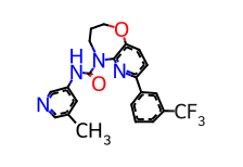 Cc1cncc(NC(=O)N2CCCOc3ccc(-c4cccc(C(F)(F)F)c4)nc32)c1